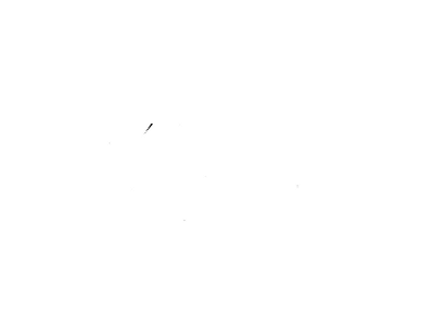 C=CC[C@H]1C[C@]2([C@@H](C)Cc3ccc(OC(C)=O)cc3)OCOC2=CC1=O